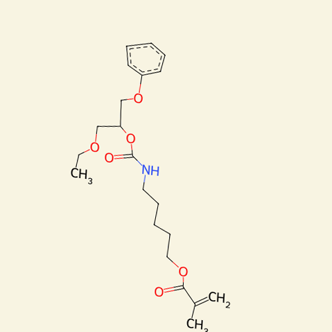 C=C(C)C(=O)OCCCCCNC(=O)OC(COCC)COc1ccccc1